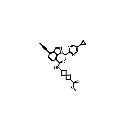 CC#Cc1ccc(C(=O)NC2CC3(C2)CC(C(=O)OC)C3)c2c1cnn2[C@@H](C)c1ncc(C2CC2)cn1